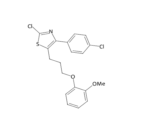 COc1ccccc1OCCCc1sc(Cl)nc1-c1ccc(Cl)cc1